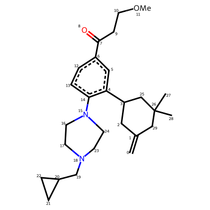 C=C1CC(c2cc(C(=O)CCOC)ccc2N2CCN(CC3CC3)CC2)CC(C)(C)C1